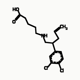 C=CCC(CNCCCCC(=O)O)c1ccc(Cl)c(Cl)c1